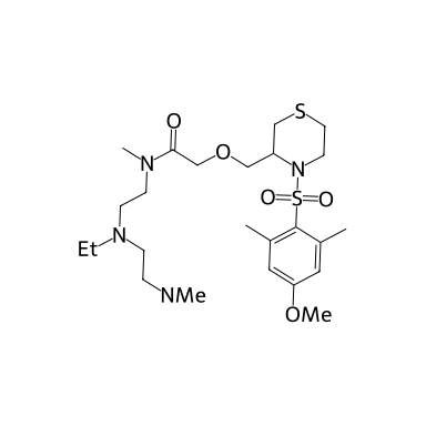 CCN(CCNC)CCN(C)C(=O)COCC1CSCCN1S(=O)(=O)c1c(C)cc(OC)cc1C